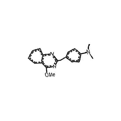 COc1nc(-c2ccc(N(C)C)cc2)nc2ccccc12